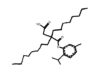 CCCCCCCCC(CCCCCCCC)(CC(=O)O)C(=O)Oc1cc(C)ccc1C(C)C